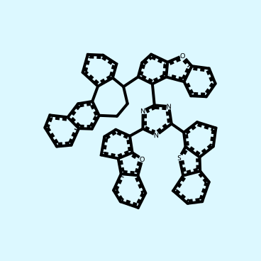 c1ccc2c(c1)-c1cc3ccccc3cc1CCC2c1ccc2oc3ccccc3c2c1-c1nc(-c2cccc3c2oc2ccccc23)nc(-c2cccc3c2sc2ccccc23)n1